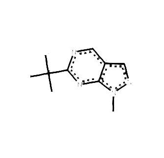 Cn1ncc2cnc(C(C)(C)C)nc21